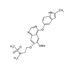 COc1cc2c(Oc3ccc4[nH]c(C)cc4c3)ncnc2cc1OCCN(C)S(C)(=O)=O